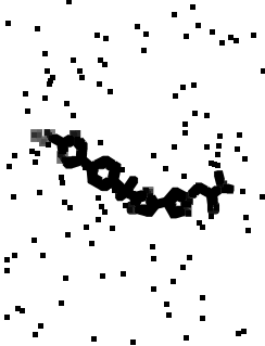 CN(C)C(=O)Cn1cc(-c2coc(C(C)(C)c3ccc(-c4cnc(N)nc4)cc3)n2)cn1